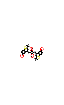 COc1ccc2c(c1)/C(=C/C1C(OC)C(/C=C3\C=C(C(C)(C)C)Sc4ccc(OC)cc43)C1OC)C=C(C(C)(C)C)S2